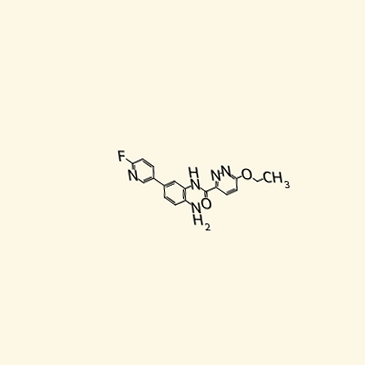 CCOc1ccc(C(=O)Nc2cc(-c3ccc(F)nc3)ccc2N)nn1